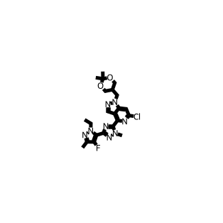 CCn1nc(C)c(F)c1-c1nc(-c2nc(Cl)cc3c2cnn3CC2COC(C)(C)OC2)n(C)n1